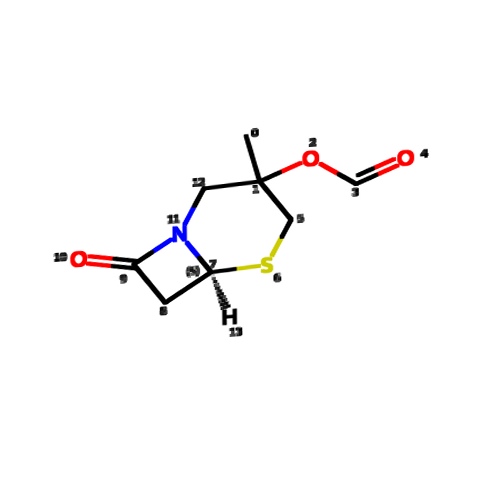 CC1(OC=O)CS[C@H]2CC(=O)N2C1